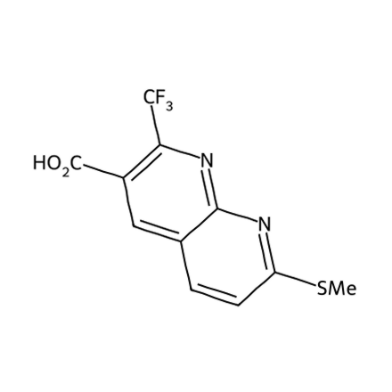 CSc1ccc2cc(C(=O)O)c(C(F)(F)F)nc2n1